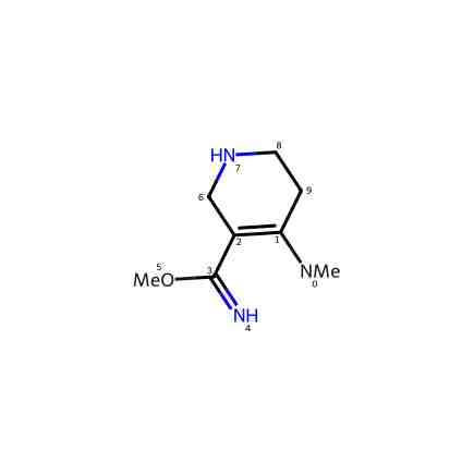 CNC1=C(C(=N)OC)CNCC1